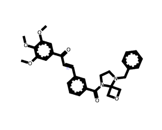 COc1cc(C(=O)/C=C/c2cccc(C(=O)N3CCN(Cc4ccccc4)C34COC4)c2)cc(OC)c1OC